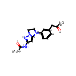 CNC(=O)Nc1cc2n(n1)CCN2c1cccc(CC(=O)N=O)c1